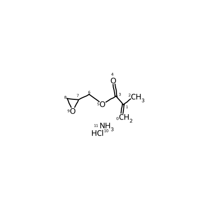 C=C(C)C(=O)OCC1CO1.Cl.N